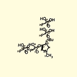 CCCCN1C=CN(C)C1.O=P(O)(O)F.O=P(O)(O)F.O=P(O)(O)F.O=P(O)(O)F